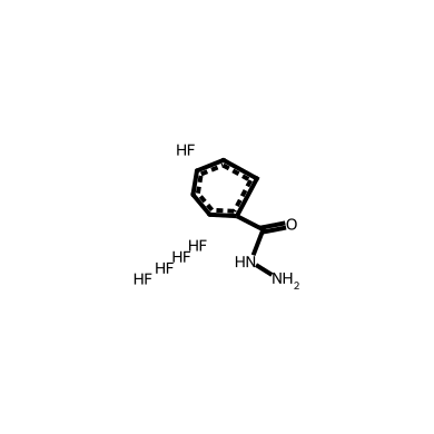 F.F.F.F.F.NNC(=O)c1ccccc1